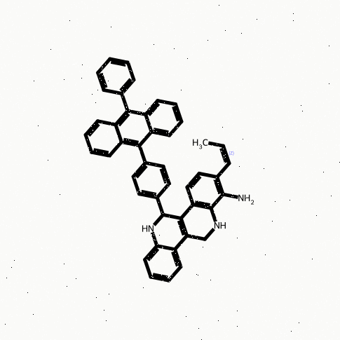 C/C=C\c1ccc2c(c1N)NCC1=C2C(c2ccc(-c3c4ccccc4c(-c4ccccc4)c4ccccc34)cc2)Nc2ccccc21